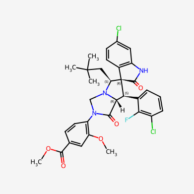 COC(=O)c1ccc(N2CN3[C@@H](CC(C)(C)C)[C@@]4(C(=O)Nc5cc(Cl)ccc54)[C@@H](c4cccc(Cl)c4F)[C@@H]3C2=O)c(OC)c1